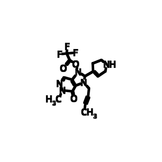 CC#CCN1c2c(cnn(C)c2=O)N(OC(=O)C(F)(F)F)C1C1=CCNCC1